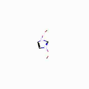 COn1cc[n+](OC)c1